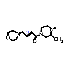 CC1CN(C(=O)/C=C/CN2CCOCC2)CCN1I